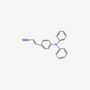 N#C/C=C/c1ccc(N(c2ccccc2)c2ccccc2)cc1